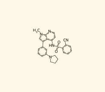 Cn1cc(-c2cccc(N3CCCC3)c2)c2c(NS(=O)(=O)c3ccccc3C#N)ccnc21